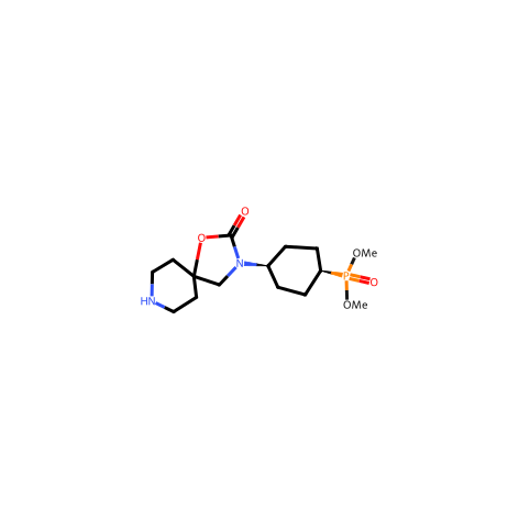 COP(=O)(OC)[C@H]1CC[C@@H](N2CC3(CCNCC3)OC2=O)CC1